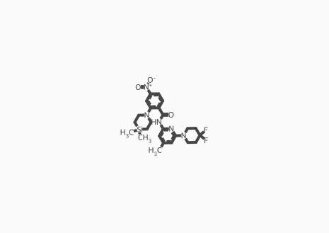 Cc1cc(NC(=O)c2ccc([N+](=O)[O-])cc2N2CC[Si](C)(C)CC2)nc(N2CCC(F)(F)CC2)c1